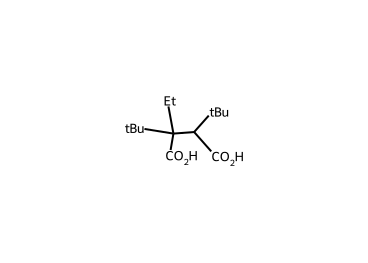 CCC(C(=O)O)(C(C(=O)O)C(C)(C)C)C(C)(C)C